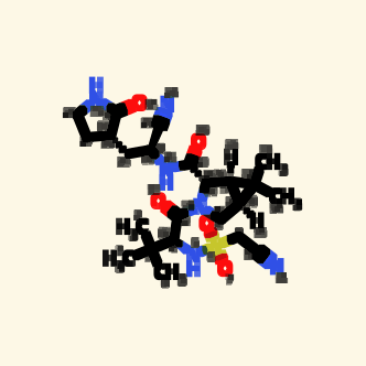 CC(C)(C)[C@H](NS(=O)(=O)CC#N)C(=O)N1C[C@H]2[C@@H]([C@H]1C(=O)N[C@H](C#N)C[C@@H]1CCNC1=O)C2(C)C